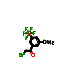 COc1cc(C(=O)CBr)cc(S(F)(F)(F)(F)F)c1